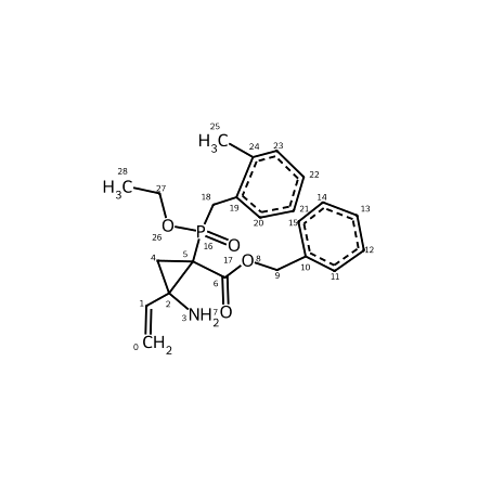 C=CC1(N)CC1(C(=O)OCc1ccccc1)P(=O)(Cc1ccccc1C)OCC